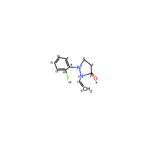 C=CN1C(=O)CCN1c1ccccc1F